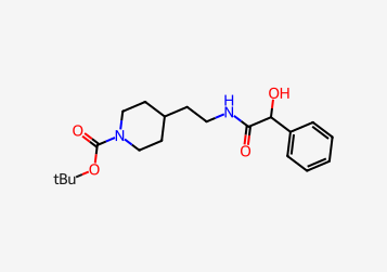 CC(C)(C)OC(=O)N1CCC(CCNC(=O)C(O)c2ccccc2)CC1